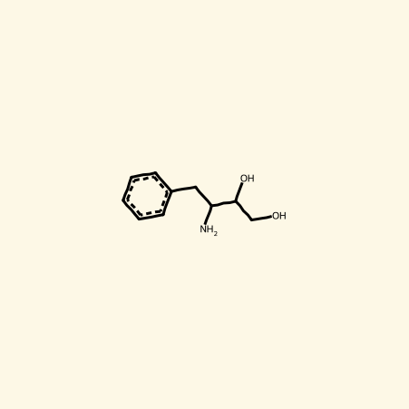 NC(Cc1ccccc1)C(O)CO